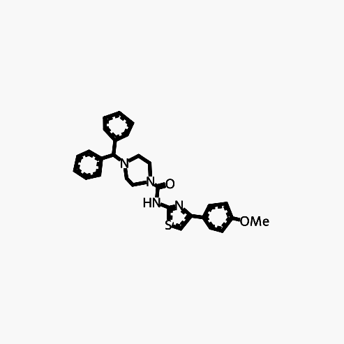 COc1ccc(-c2csc(NC(=O)N3CCN(C(c4ccccc4)c4ccccc4)CC3)n2)cc1